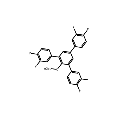 CCCCCCCCOc1c(-c2ccc(F)c(F)c2)cc(-c2ccc(F)c(F)c2)cc1-c1ccc(F)c(F)c1